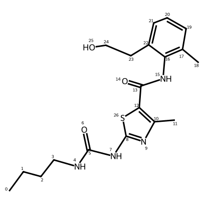 CCCCNC(=O)Nc1nc(C)c(C(=O)Nc2c(C)cccc2CCO)s1